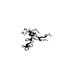 C=C/C(=C\C=C/N)n1nc(C(C)(C)C)cc1NC(=O)OCC(Cl)(Cl)Cl